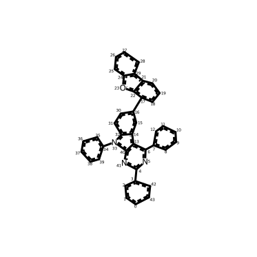 c1ccc(-c2nc(-c3ccccc3)c3c4cc(-c5cccc6c5oc5ccccc56)ccc4n(-c4ccccc4)c3n2)cc1